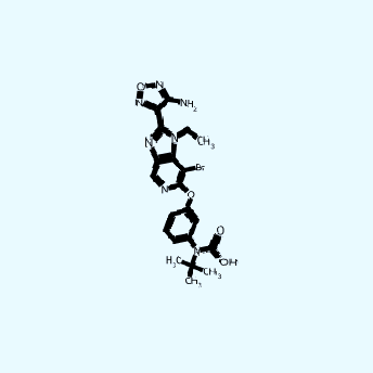 CCn1c(-c2nonc2N)nc2cnc(Oc3cccc(N(C(=O)O)C(C)(C)C)c3)c(Br)c21